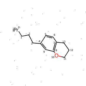 CC(C)CCCc1ccc2c(c1)OCCC2